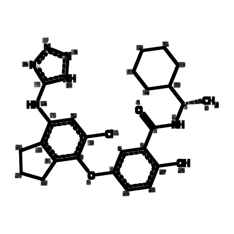 C[C@H](NC(=O)c1cc(Oc2c(Cl)cc(Nc3nnn[nH]3)c3c2CCC3)ccc1O)C1CCCCC1